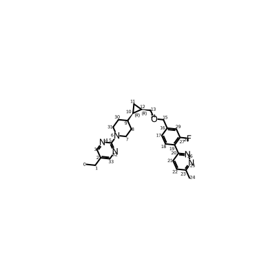 CCc1cnc(N2CCC([C@H]3C[C@H]3COCc3ccc(-c4ccc(C)nn4)c(F)c3)CC2)nc1